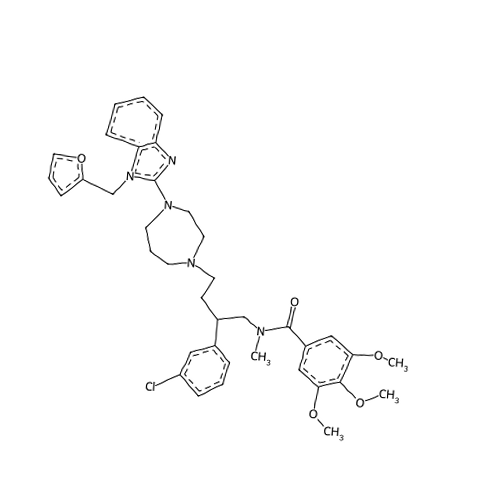 COc1cc(C(=O)N(C)CC(CCN2CCCN(c3nc4ccccc4n3Cc3ccco3)CC2)c2cccc(Cl)c2)cc(OC)c1OC